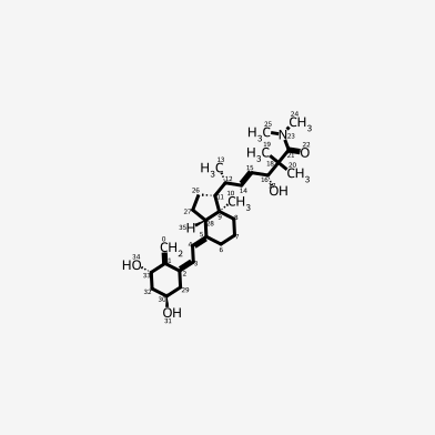 C=C1/C(=C\C=C2/CCC[C@]3(C)[C@@H]([C@H](C)/C=C/[C@@H](O)C(C)(C)C(=O)N(C)C)CC[C@@H]23)C[C@@H](O)C[C@@H]1O